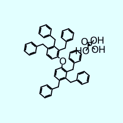 O=P(O)(O)O.c1ccc(Cc2ccc(Oc3ccc(Cc4ccccc4)c(Cc4ccccc4)c3Cc3ccccc3)c(Cc3ccccc3)c2Cc2ccccc2)cc1